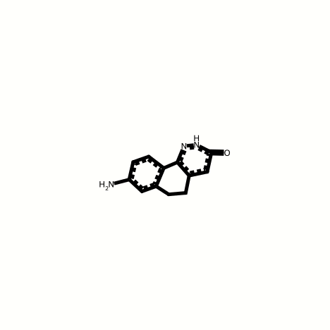 Nc1ccc2c(c1)CCc1cc(=O)[nH]nc1-2